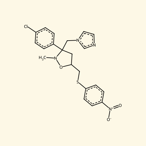 CN1OC(CSc2ccc([N+](=O)[O-])cc2)CC1(Cn1ccnc1)c1ccc(Cl)cc1